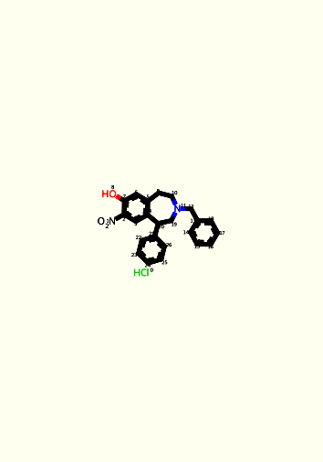 Cl.O=[N+]([O-])c1cc2c(cc1O)CCN(Cc1ccccc1)CC2c1ccccc1